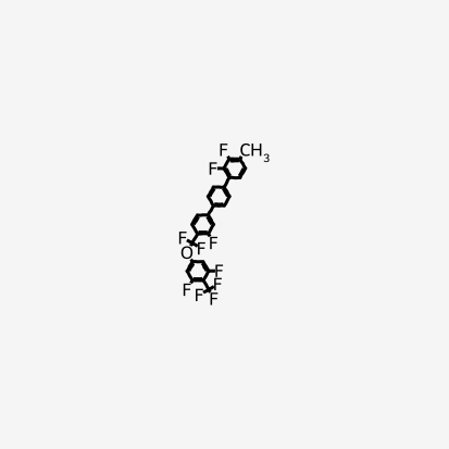 Cc1ccc(-c2ccc(-c3ccc(C(F)(F)Oc4cc(F)c(C(F)(F)F)c(F)c4)c(F)c3)cc2)c(F)c1F